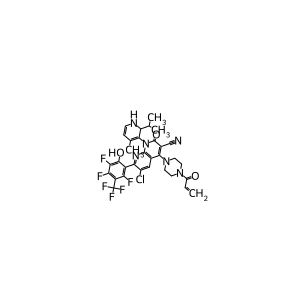 C=CC(=O)N1CCN(c2c(C#N)c(=O)n(C3=C(C)C=CNC3C(C)C)c3nc(-c4c(O)c(F)c(F)c(C(F)(F)F)c4F)c(Cl)cc23)CC1